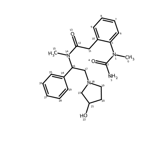 CN(C(N)=O)c1ccccc1CC(=O)N(C)C(CN1CCC(O)C1)c1ccccc1